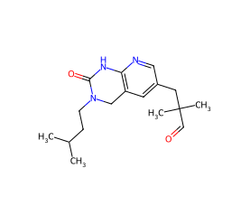 CC(C)CCN1Cc2cc(CC(C)(C)C=O)cnc2NC1=O